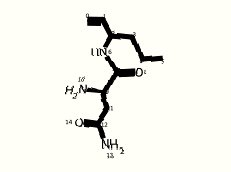 C=CC(CCC)NC(=O)[C@H](N)CC(N)=O